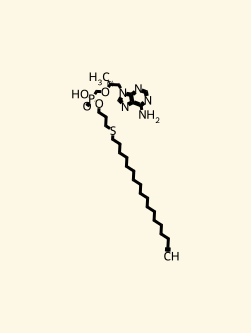 C#CCCCCCCCCCCCCCCCCSCCCOP(=O)(O)CO[C@H](C)Cn1cnc2c(N)ncnc21